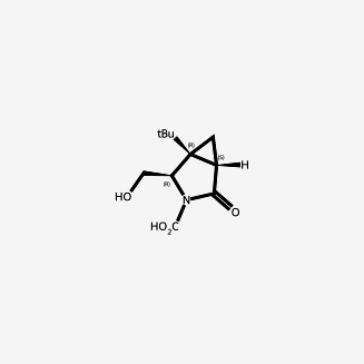 CC(C)(C)[C@@]12C[C@@H]1C(=O)N(C(=O)O)[C@H]2CO